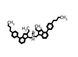 CCCCc1ccc(-c2cccc3c2C=C(CC)C3C[SiH]([Zr])CC2C(CC)=Cc3c(-c4ccc(CCCC)cc4)cccc32)cc1